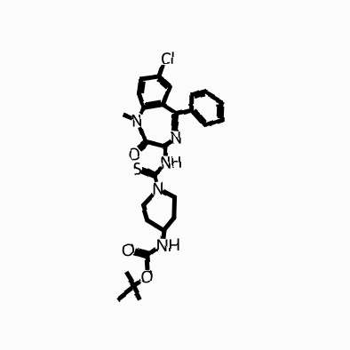 CN1C(=O)C(NC(=S)N2CCC(NC(=O)OC(C)(C)C)CC2)N=C(c2ccccc2)c2cc(Cl)ccc21